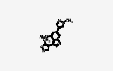 COc1cc(-c2cnn(C)c2)cn2ncc(-c3cnoc3C)c12